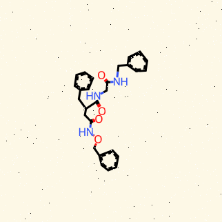 O=C(CNC(=O)C(CC(=O)NOCc1ccccc1)Cc1ccccc1)NCc1ccccc1